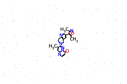 Cc1cc2nccc(=O)n2nc1N1CCc2ncc(-c3c(C)noc3C)cc2C1